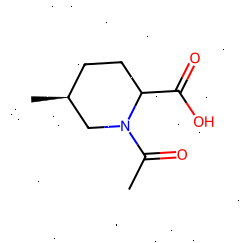 CC(=O)N1C[C@@H](C)CCC1C(=O)O